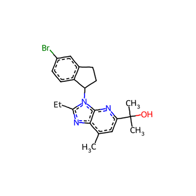 CCc1nc2c(C)cc(C(C)(C)O)nc2n1C1CCc2cc(Br)ccc21